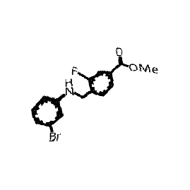 COC(=O)c1ccc(CNc2cccc(Br)c2)c(F)c1